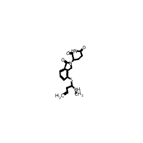 C=CCC(BC)Sc1cccc2c1CN(C1CCC(=O)NC1=O)C2=O